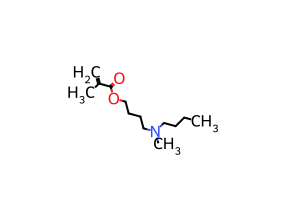 C=C(C)C(=O)OCCCCN(C)CCCC